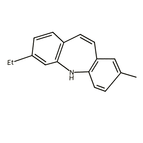 CCc1ccc2c(c1)Nc1ccc(C)cc1C=C2